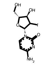 Nc1ccn([C@@H]2O[C@H](CO)[C@@H](O)C2I)c(=O)n1